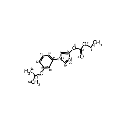 CCOC(=O)Oc1cn(-c2cccc(OC(C)C)c2)cn1